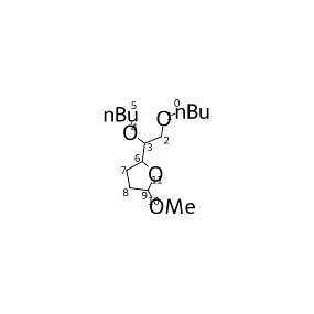 CCCCOCC(OCCCC)C1CCC(OC)O1